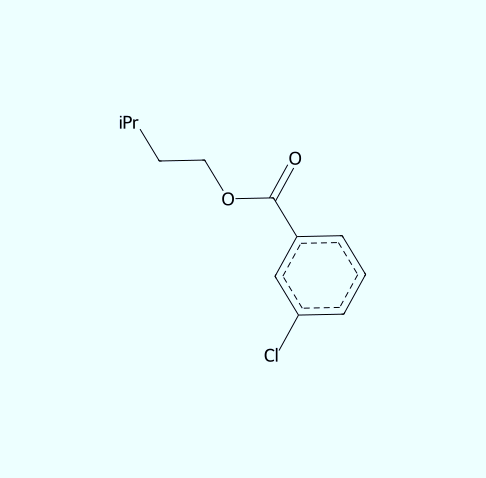 CC(C)CCOC(=O)c1cccc(Cl)c1